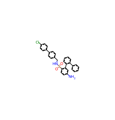 Nc1ccc(S(=O)(=O)NCc2ccc(-c3ccc(Cl)cc3)cc2)c(-c2ccccc2-c2ccccc2)c1